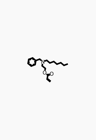 C=CC(=O)OCCN(CCCCCCC)Cc1ccccc1